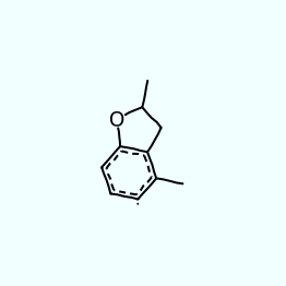 Cc1[c]ccc2c1CC(C)O2